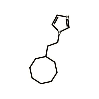 c1cn(CCC2CCCCCCC2)cn1